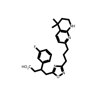 CC1(C)CCNc2nc(CCCc3noc(CC(CC(=O)O)c4cccc(F)c4)n3)ccc21